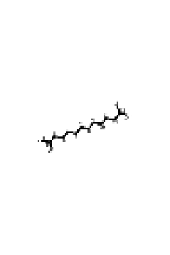 [CH2]C(C)CCCCCCCCCCC([CH2])C